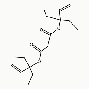 C=CC(CC)(CC)OC(=O)CC(=O)OC(C=C)(CC)CC